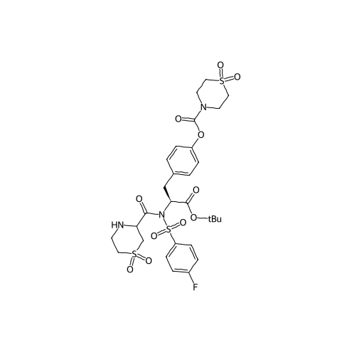 CC(C)(C)OC(=O)[C@H](Cc1ccc(OC(=O)N2CCS(=O)(=O)CC2)cc1)N(C(=O)C1CS(=O)(=O)CCN1)S(=O)(=O)c1ccc(F)cc1